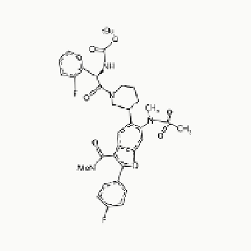 CNC(=O)c1c(-c2ccc(F)cc2)oc2cc(N(C)S(C)(=O)=O)c([C@@H]3CCCN(C(=O)[C@H](NC(=O)OC(C)(C)C)c4ccccc4F)C3)cc12